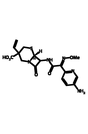 C=CC1(C(=O)O)CS[C@@H]2C(NC(=O)C(=NOC)c3ccc(N)cn3)C(=O)N2C1